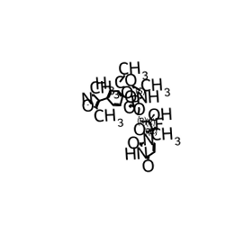 Cc1noc(C)c1-c1ccc(OP(=O)(N[C@@H](C)C(=O)OC(C)C)OC[C@H]2O[C@@H](n3ccc(=O)[nH]c3=O)[C@](C)(F)[C@@H]2O)cc1